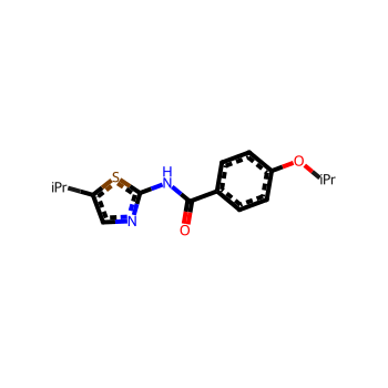 CC(C)Oc1ccc(C(=O)Nc2ncc(C(C)C)s2)cc1